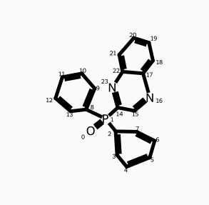 O=P(c1ccccc1)(c1ccccc1)c1cnc2ccccc2n1